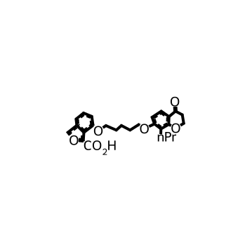 CCCc1c(OCCCCCOc2cccc3coc(C(=O)O)c23)ccc2c1OCCC2=O